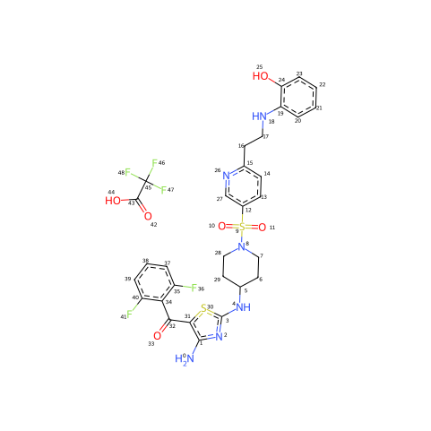 Nc1nc(NC2CCN(S(=O)(=O)c3ccc(CCNc4ccccc4O)nc3)CC2)sc1C(=O)c1c(F)cccc1F.O=C(O)C(F)(F)F